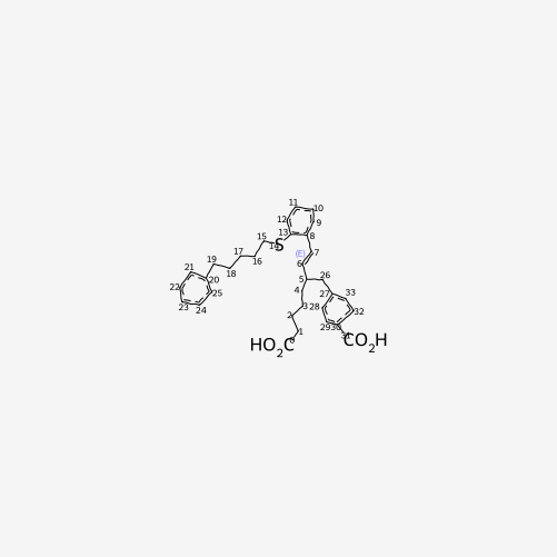 O=C(O)CCCCC(/C=C/c1ccccc1SCCCCCc1ccccc1)Cc1ccc(C(=O)O)cc1